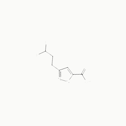 O=C(O)c1cc(CCC(F)F)n[nH]1